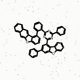 c1ccc(-c2cc(-c3nc(-c4ccccc4)nc(-c4ccccc4-c4cccc5oc6cc7ccccc7cc6c45)n3)c3c(c2)oc2ccccc23)cc1